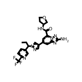 CCC(c1ccc(C(F)(F)F)nc1)n1cc(-c2cc(C(=O)NC3CCOC3)n3nc(N)nc3c2)cn1